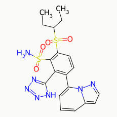 CCC(CC)S(=O)(=O)c1ccc(-c2cccc3ccnn23)c(-c2nnn[nH]2)c1S(N)(=O)=O